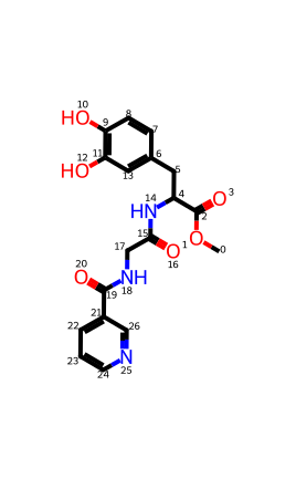 COC(=O)C(Cc1ccc(O)c(O)c1)NC(=O)CNC(=O)c1cccnc1